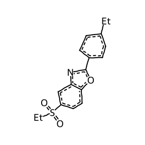 CCc1ccc(-c2nc3cc(S(=O)(=O)CC)ccc3o2)cc1